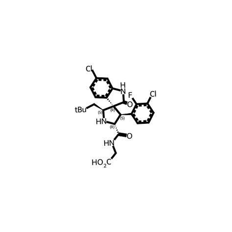 CC(C)(C)C[C@@H]1N[C@@H](C(=O)NCC(=O)O)[C@H](c2cccc(Cl)c2F)[C@]12C(=O)Nc1cc(Cl)ccc12